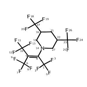 FC(F)(F)C(=C(C(F)(F)F)C(F)(F)F)N1CC(C(F)(F)F)CC(C(F)(F)F)C1